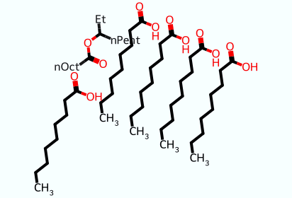 CCCCCCCCC(=O)O.CCCCCCCCC(=O)O.CCCCCCCCC(=O)O.CCCCCCCCC(=O)O.CCCCCCCCC(=O)O.CCCCCCCCC(=O)OC(CC)CCCCC